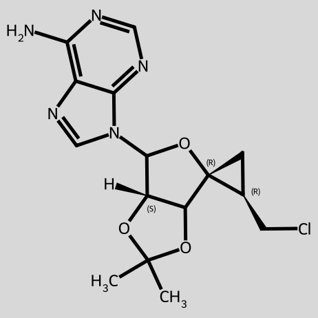 CC1(C)OC2[C@H](O1)C(n1cnc3c(N)ncnc31)O[C@@]21C[C@H]1CCl